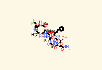 CC[C@H](C)[C@H](NC(=O)[C@@H](CCc1ccccc1)NC)C(=O)N[C@@H](CO)C(=O)N[C@H](CCC(N)=O)C(=O)N[C@@H](C(=O)N[C@H](C(=O)N[C@@H](CO)C(=O)N[C@H]1C(=O)N[C@@H](C)C(=O)N[C@@]2(C[C@H]2CC(F)F)C(=O)N[C@@H]([C@@H](C)CC)C(=O)O[C@H]1C)[C@@H](C)CC)[C@@H](C)CC